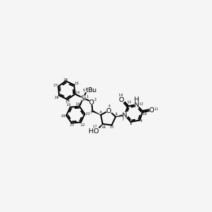 CC(C)(C)[Si](OC[C@H]1O[C@@H](n2ccc(=O)[nH]c2=O)C[C@H]1O)(c1ccccc1)c1ccccc1